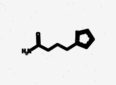 NC(=O)CCCc1cccs1